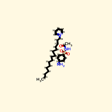 CC(=O)NS(=O)(=O)c1ccc(N)cc1.CCCCCCCCCCCCCCCC[n+]1ccccc1